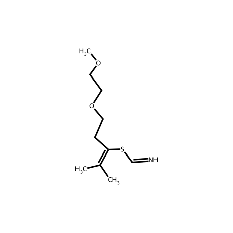 COCCOCCC(SC=N)=C(C)C